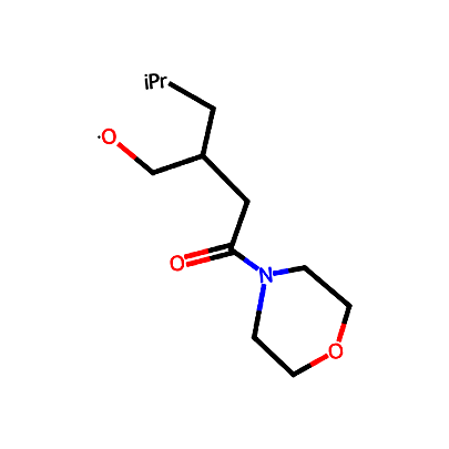 CC(C)CC(C[O])CC(=O)N1CCOCC1